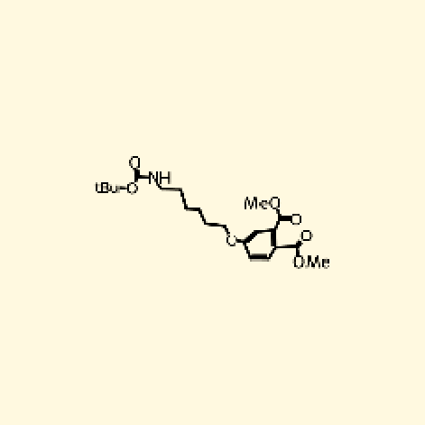 COC(=O)c1ccc(OCCCCCCNC(=O)OC(C)(C)C)cc1C(=O)OC